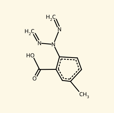 C=NN(N=C)c1ccc(C)cc1C(=O)O